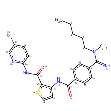 CCCCCN(C)C(=N)c1ccc(C(=O)Nc2ccsc2C(=O)Nc2ccc(Br)cn2)cc1